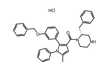 Cc1cc(C(=O)N2CCNC[C@H]2Cc2ccccc2)c(-c2cccc(OCc3ccccc3)c2)n1-c1ccccc1.Cl